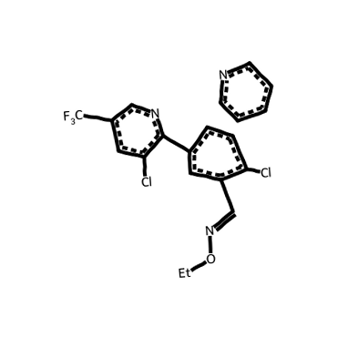 CCON=Cc1cc(-c2ncc(C(F)(F)F)cc2Cl)ccc1Cl.c1ccncc1